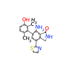 Cc1ccc(O)c(C)c1-c1cc(-c2nccs2)c2c(c1N)C(=O)NC2